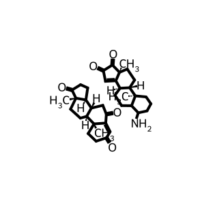 C[C@]12CCC(=O)C=C1C(=O)C[C@@H]1[C@@H]2CC[C@]2(C)C(=O)CC[C@@H]12.C[C@]12CC[C@H]3[C@@H](CCC4C(N)CCC[C@@]43C)C1=CC(=O)C2=O